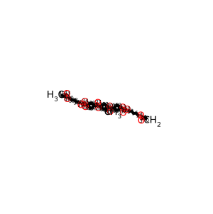 C=CC(=O)OCCCCCOC(=O)Oc1ccc(C(=O)Oc2ccc(OC(=O)c3ccc(OC(=O)OCCCCCOC(=O)CC)cc3)cc2C)cc1